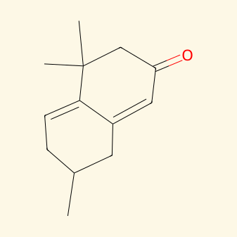 CC1CC=C2C(=CC(=O)CC2(C)C)C1